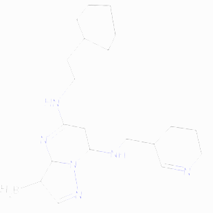 BC1C=NN2C(NCC3C=NCCC3)CC(NCCC3CCCCC3)=NC12